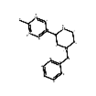 Cc1ncc(C2CN(Cc3ccccc3)CCO2)cn1